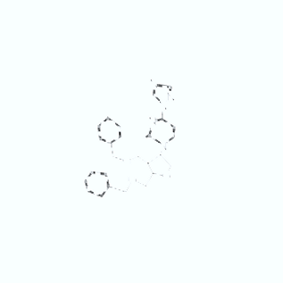 O=c1nc(-n2cncn2)ccn1C1COC(COCc2ccccc2)C1COCc1ccccc1